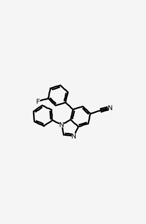 N#Cc1cc(-c2cccc(F)c2)c2c(c1)ncn2-c1ccccc1